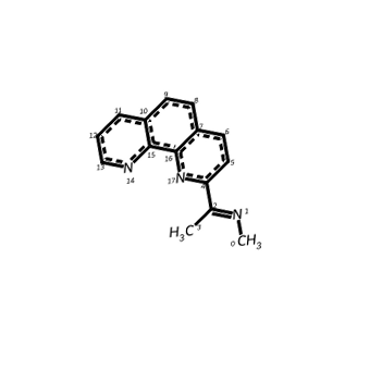 C/N=C(\C)c1ccc2ccc3cccnc3c2n1